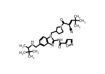 CC(NCc1ccc2c(c1)nc(NC(=O)c1ccno1)n2CC1CCN(C(=O)C(C#N)=CC(C)(C)C)C1)C(C)(C)C